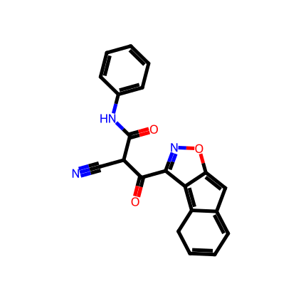 N#CC(C(=O)Nc1ccccc1)C(=O)c1noc2c1=C1CC=CC=C1C=2